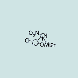 COc1ccc(Cl)cc1-c1c([N+](=O)[O-])cnn1CCC(C)C